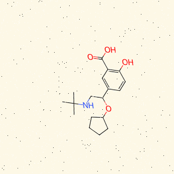 CC(C)(C)NCC(OC1CCCC1)c1ccc(O)c(C(=O)O)c1